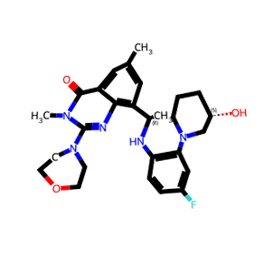 Cc1cc([C@@H](C)Nc2ccc(F)cc2N2CCC[C@H](O)C2)c2nc(N3CCOCC3)n(C)c(=O)c2c1